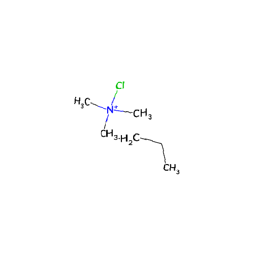 C[N+](C)(C)Cl.[CH2]CC